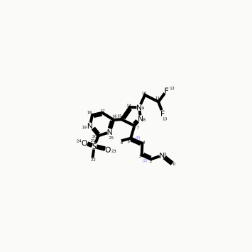 C=N/C=C\C=C(/C)c1nn(CC(F)F)cc1-c1ccnc(S(C)(=O)=O)n1